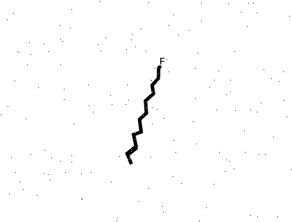 C/C=C/CCCCCCCCCF